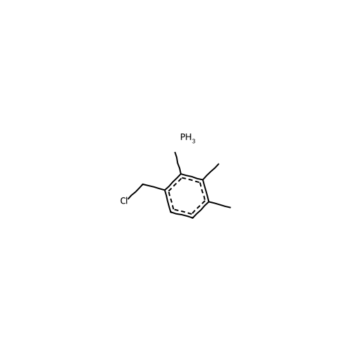 Cc1ccc(CCl)c(C)c1C.P